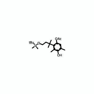 CC(=O)Oc1cc(C)c(O)c(C)c1C(C)(C)CCO[Si](C)(C)C(C)(C)C